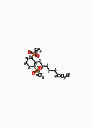 CCOC(=O)CCCCCC1C(S(=O)(=O)C(F)(F)F)CCCC1S(=O)(=O)C(F)(F)F